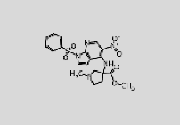 COC(=O)C1(Nc2c([N+](=O)[O-])cnc3c2ccn3S(=O)(=O)c2ccccc2)CCN(C)C1